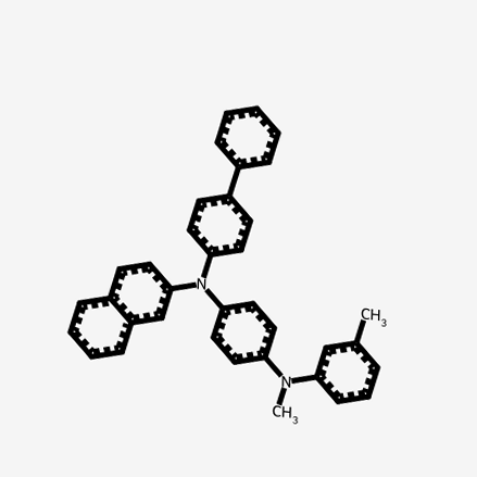 Cc1cccc(N(C)c2ccc(N(c3ccc(-c4ccccc4)cc3)c3ccc4ccccc4c3)cc2)c1